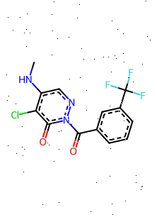 CNc1cnn(C(=O)c2cccc(C(F)(F)F)c2)c(=O)c1Cl